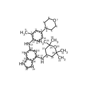 Cc1cc(N2CCOCC2)ccc1Nc1nc(NC2CC(C)(C)OC(C)(C)C2)c2nc[nH]c2n1